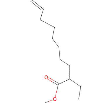 C=CCCCCCCC(CC)C(=O)OC